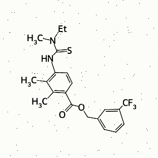 CCN(C)C(=S)Nc1ccc(C(=O)OCc2cccc(C(F)(F)F)c2)c(C)c1C